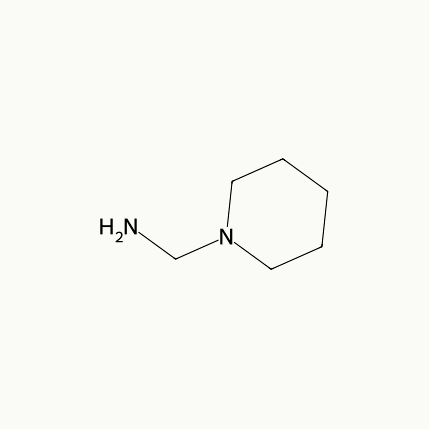 NCN1CCCCC1